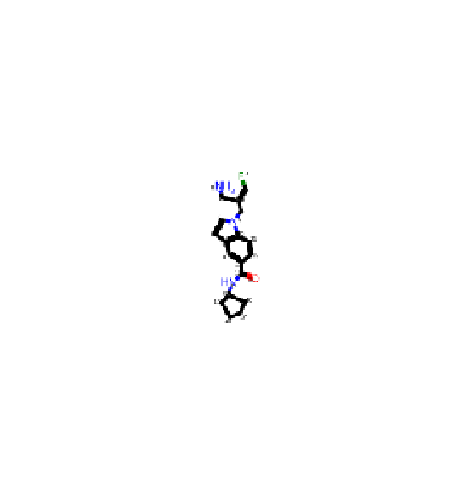 NC/C(=C\F)Cn1ccc2cc(C(=O)NC3CCCC3)ccc21